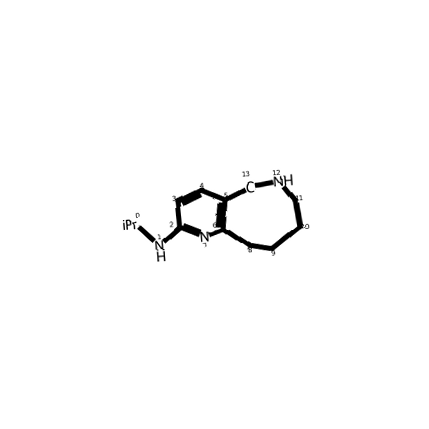 CC(C)Nc1ccc2c(n1)CCCCNC2